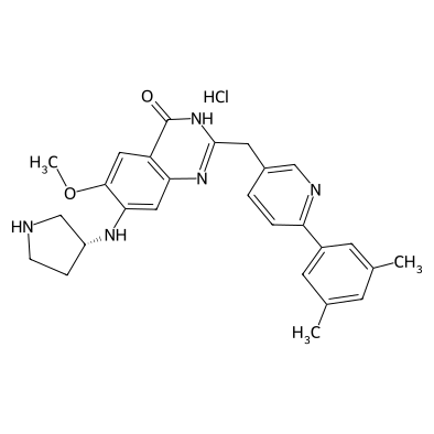 COc1cc2c(=O)[nH]c(Cc3ccc(-c4cc(C)cc(C)c4)nc3)nc2cc1N[C@@H]1CCNC1.Cl